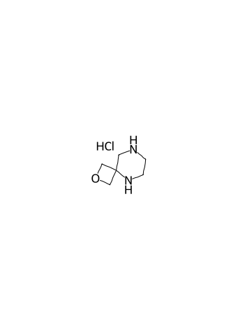 C1CNC2(CN1)COC2.Cl